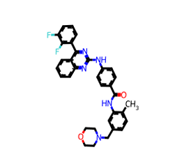 Cc1ccc(CN2CCOCC2)cc1NC(=O)c1ccc(Nc2nc(-c3cccc(F)c3F)c3ccccc3n2)cc1